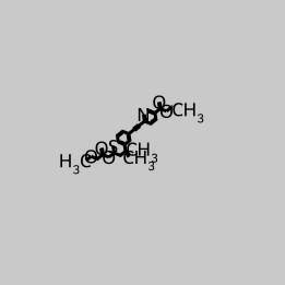 CCOC(=O)c1ccc(C#Cc2ccc3c(c2)C(C)(C)CC(OC(=O)COC)S3)nc1